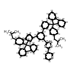 CC(C)Cc1ccc(C2(c3cccc(-c4cc(-c5cccc(C6(c7ccc(CC(C)C)cc7)c7ccccc7-c7ccccc76)c5)cc(-c5nnc(-c6cccnc6)s5)c4)c3)c3ccccc3-c3ccccc32)cc1